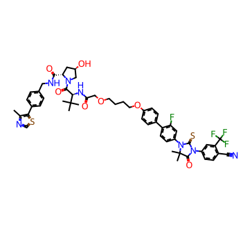 Cc1ncsc1-c1ccc(CNC(=O)[C@@H]2C[C@@H](O)CN2C(=O)[C@@H](NC(=O)COCCCCOc2ccc(-c3ccc(N4C(=S)N(c5ccc(C#N)c(C(F)(F)F)c5)C(=O)C4(C)C)cc3F)cc2)C(C)(C)C)cc1